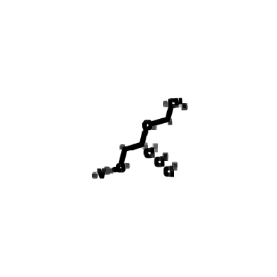 CCOCC[O][V+3].[Cl-].[Cl-].[Cl-]